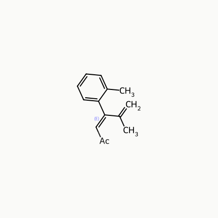 C=C(C)/C(=C\C(C)=O)c1ccccc1C